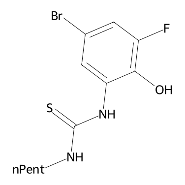 CCCCCNC(=S)Nc1cc(Br)cc(F)c1O